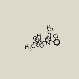 CCn1cc(C(=O)NS(=O)(=O)CC)nc1-c1ccccc1Cl